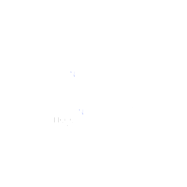 CC(CC1CCCCC1)N(Cc1cccc2ccn(C)c12)C(=O)O